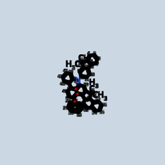 CC1(C)c2ccccc2-c2ccc(N(c3ccc4c(c3)C(C)(C)c3c-4c(-c4ccccc4)cc4ccccc34)c3ccccc3-c3ccc(-c4ccccc4)cc3)cc21